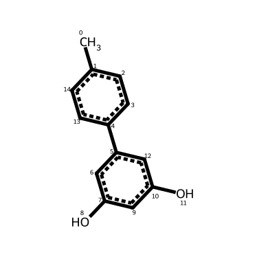 Cc1ccc(-c2cc(O)cc(O)c2)cc1